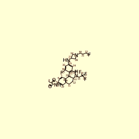 CS(=O)(=O)Nc1ccc2c(c1)CCC(NCC(F)(F)F)[C@@H]2c1c(F)cc(NC2CN(CCCF)C2)cc1F